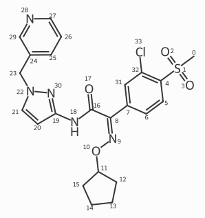 CS(=O)(=O)c1ccc(C(=NOC2CCCC2)C(=O)Nc2ccn(Cc3cccnc3)n2)cc1Cl